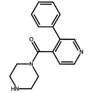 O=C(c1ccn[c]c1-c1ccccc1)N1CCNCC1